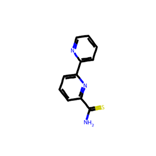 NC(=S)c1cccc(-c2ccccn2)n1